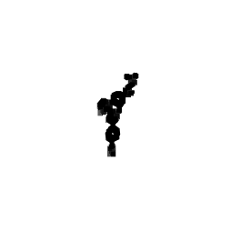 CN(C)CCN(C)c1ccc2c(c1)Cn1cc(-c3ccc(C#N)cc3)cc1-c1nccn1-2